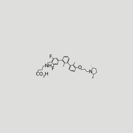 Cc1c(OCCCN2[C@H](C)CC[C@H]2C)cccc1-c1cccc(-c2cc(F)c(CNCCCC(=O)O)c(F)c2)c1C